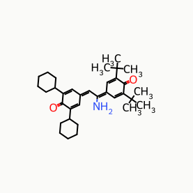 CC(C)(C)C1=CC(=C(N)C=C2C=C(C3CCCCC3)C(=O)C(C3CCCCC3)=C2)C=C(C(C)(C)C)C1=O